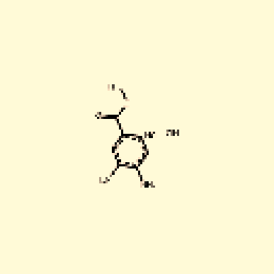 COC(=O)c1ccc(N)c(N)c1.Cl.Cl